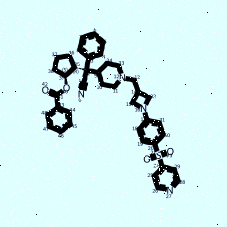 N#CC(c1ccccc1)(C1CCN(CC2CN(c3ccc(S(=O)(=O)c4ccncc4)cc3)C2)CC1)[C@H]1CCC[C@@H]1OC(=O)c1ccccc1